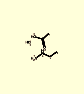 CC(=O)O.CCNN.Cl